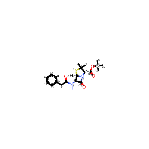 CC1(C)S[C@@H]2[C@H](NC(=O)Cc3ccccc3)C(=O)N2[C@H]1C(=O)O[Si](C)(C)C